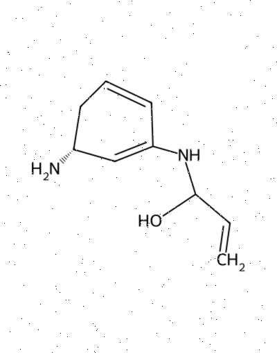 C=CC(O)NC1=C[C@H](N)CC=C1